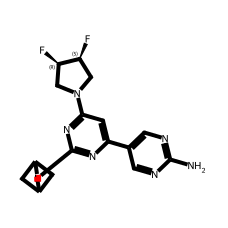 Nc1ncc(-c2cc(N3C[C@@H](F)[C@@H](F)C3)nc(N3CC4CC3C4)n2)cn1